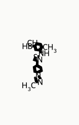 CBc1ccc(C)c(NC2=NC(c3ccc(-n4cnc(C)c4)cc3)CS2)c1